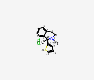 CCN1CCc2ccccc2C1(C)c1cccs1.Cl